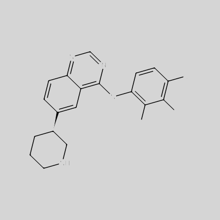 Fc1c(Nc2ncnc3ccc([C@@H]4CCCNC4)cc23)ccc(Cl)c1Cl